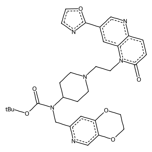 CC(C)(C)OC(=O)N(Cc1cc2c(cn1)OCCO2)C1CCN(CCn2c(=O)ccc3ncc(-c4ncco4)cc32)CC1